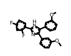 COc1cccc(-c2nc(-c3ccc(F)cc3F)[nH]c2-c2cccc(OC)c2)c1